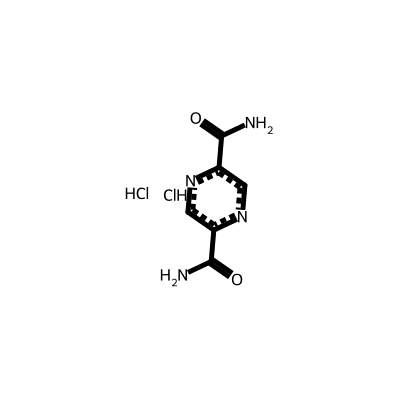 Cl.Cl.NC(=O)c1cnc(C(N)=O)cn1